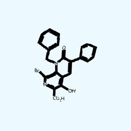 O=C(O)c1nc(Br)c2c(cc(-c3ccccc3)c(=O)n2Cc2ccccc2)c1O